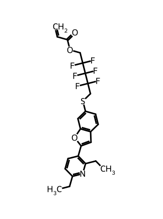 C=CC(=O)OCC(F)(F)C(F)(F)C(F)(F)CSc1ccc2cc(-c3ccc(CC)nc3CC)oc2c1